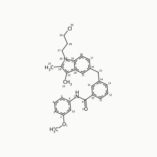 COc1cccc(NC(=O)c2cccc(Cc3ccc4c(c3)c(C)c(C)n4CCCCl)c2)c1